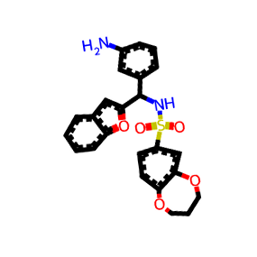 Nc1cccc(C(NS(=O)(=O)c2ccc3c(c2)OCCCO3)c2cc3ccccc3o2)c1